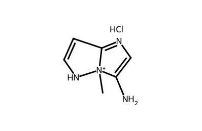 C[N+]12NC=CC1=NC=C2N.Cl